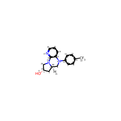 O[C@H]1C[C@@H]2CN(c3ccc(C(F)(F)F)cc3)c3cccnc3N2C1